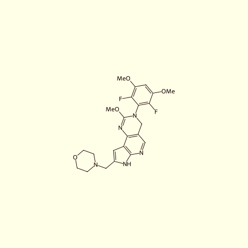 COC1=Nc2c(cnc3[nH]c(CN4CCOCC4)cc23)CN1c1c(F)c(OC)cc(OC)c1F